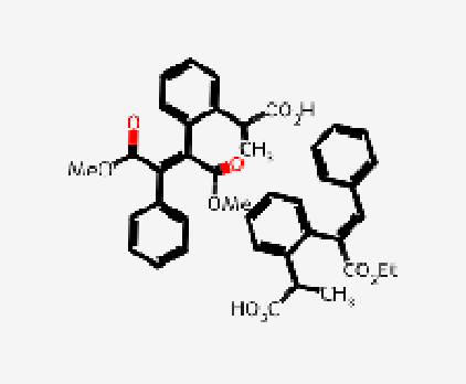 CCOC(=O)C(=Cc1ccccc1)c1ccccc1C(C)C(=O)O.COC(=O)C(=C(C(=O)OC)c1ccccc1C(C)C(=O)O)c1ccccc1